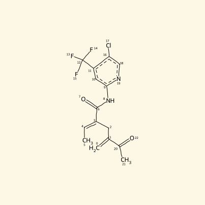 C=C(C/C(=C\C)C(=O)Nc1cc(C(F)(F)F)c(Cl)cn1)C(C)=O